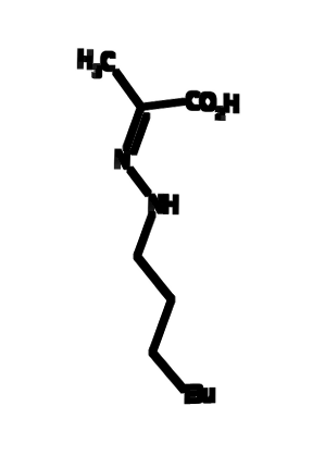 CCC(C)CCCN/N=C(/C)C(=O)O